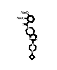 COc1cccc(C(=O)N2CCc3cnc(N4CCN(C5CCC5)CC4)nc3CC2)c1OC